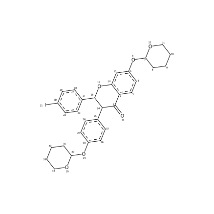 O=C1c2ccc(OC3CCCCO3)cc2OC(c2ccc(I)cc2)C1c1ccc(OC2CCCCO2)cc1